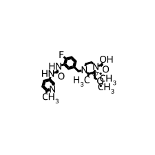 CC[C@]1(COC)C(C)N(Cc2ccc(F)c(NC(=O)Nc3ccc(C)nc3)c2)CCN1C(=O)O